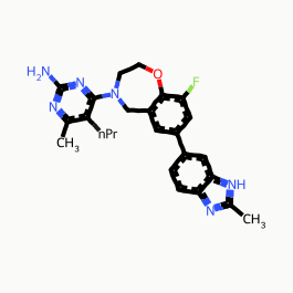 CCCc1c(C)nc(N)nc1N1CCOc2c(F)cc(-c3ccc4nc(C)[nH]c4c3)cc2C1